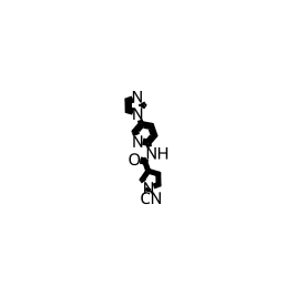 N#CN1CCC(C(=O)Nc2ccc(-n3ccnc3)cn2)C1